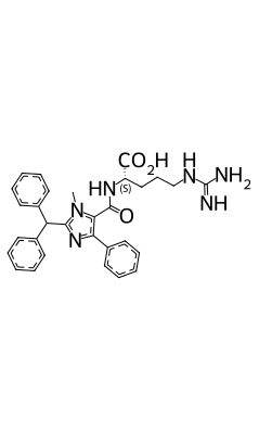 Cn1c(C(c2ccccc2)c2ccccc2)nc(-c2ccccc2)c1C(=O)N[C@@H](CCCNC(=N)N)C(=O)O